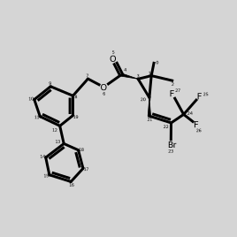 CC1(C)[C@H](C(=O)OCc2cccc(-c3ccccc3)c2)[C@@H]1/C=C(/Br)C(F)(F)F